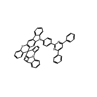 c1ccc(-c2cc(-c3ccccc3)nc(-c3ccc(-n4c5ccccc5c5cc6c(cc54)C4(c5ccccc5S6)c5ccccc5-n5c6ccccc6c6cccc4c65)cc3)n2)cc1